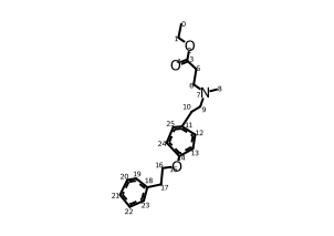 CCOC(=O)CCN(C)CCc1ccc(OCCc2ccccc2)cc1